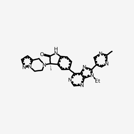 CCn1c(-c2cnc(C)nc2)nc2c(-c3ccc4c(c3)[C@@](C)(N3CCn5nccc5C3)C(=O)N4)ncnc21